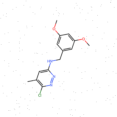 COc1cc(CNc2cc(C)c(Cl)nn2)cc(OC)c1